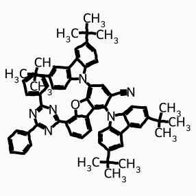 CC(C)(C)c1ccc2c(c1)c1cc(C(C)(C)C)ccc1n2-c1cc(C#N)c(-n2c3ccc(C(C)(C)C)cc3c3cc(C(C)(C)C)ccc32)c2c1oc1c(-c3nc(-c4ccccc4)nc(-c4ccccc4)n3)cccc12